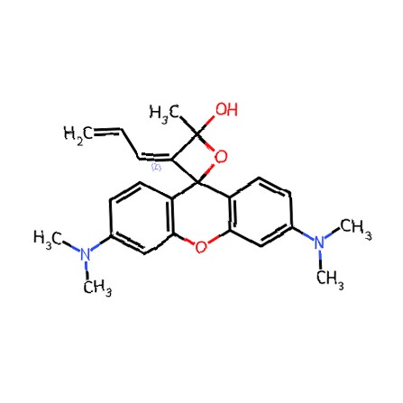 C=C/C=C1\C(C)(O)OC12c1ccc(N(C)C)cc1Oc1cc(N(C)C)ccc12